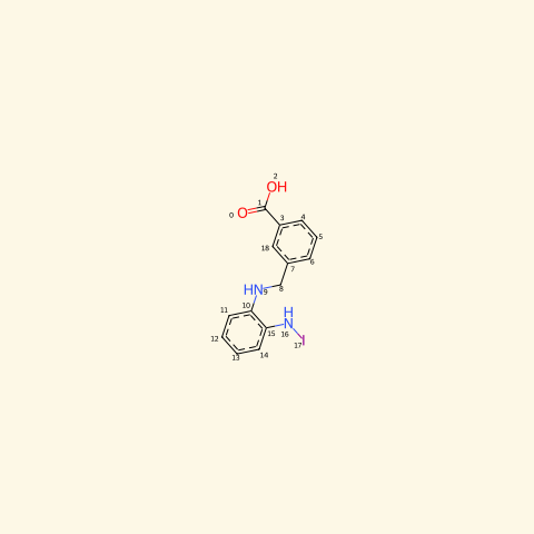 O=C(O)c1cccc(CNc2ccccc2NI)c1